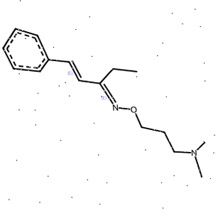 CCC(/C=C/c1ccccc1)=N\OCCCN(C)C